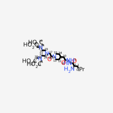 CC(C)C[C@H](N)C(=O)NNC(=O)CC1CCN(C(=O)CN(CCN(CC(=O)O)CC(=O)O)CCN(CC(=O)O)CC(=O)O)CC1